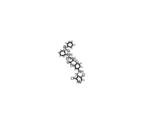 O=C(Nc1ccccc1S(=O)(=O)c1ccccc1)N[C@@H](Cc1ccc(NCc2c(Cl)cncc2Cl)cc1)C(=O)O